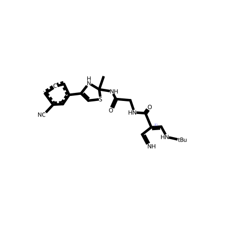 CC(C)(C)N/C=C(\C=N)C(=O)NCC(=O)NC1(C)NC(c2cccc(C#N)c2)=CS1